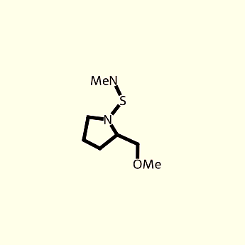 CNSN1CCCC1COC